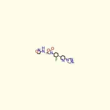 CN1CCN(c2ccc(-c3ccc(N4C[C@H](CNc5ccon5)OC4=O)cc3F)cn2)C=N1